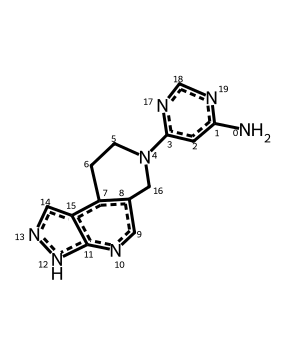 Nc1cc(N2CCc3c(cnc4[nH]ncc34)C2)ncn1